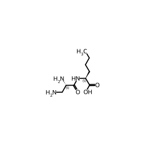 CCCC[C@H](NC(=O)[C@@H](N)CN)C(=O)O